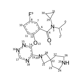 CC(C)N(C(=O)c1cc(F)ccc1Oc1nncnc1N1CC2(CCNCC2)C1)C1CC1